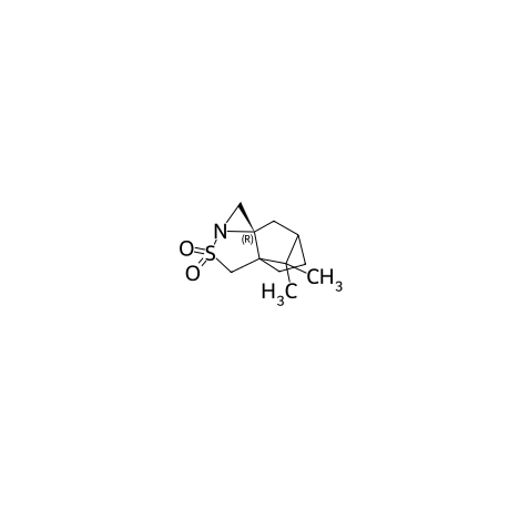 CC1(C)C2CCC13CS(=O)(=O)N1C[C@]13C2